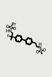 CC(C)S(=O)(=O)NCC(C)(F)c1ccc(-c2ccc(CCNS(C)(=O)=O)cc2)cc1